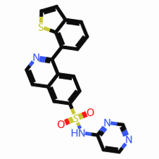 O=S(=O)(Nc1ccncn1)c1ccc2c(-c3cccc4ccsc34)nccc2c1